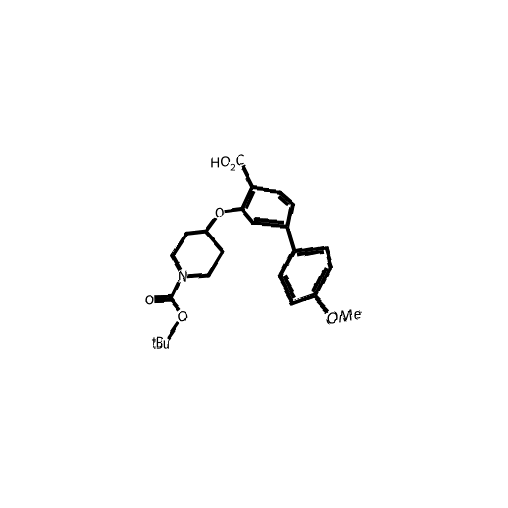 COc1ccc(-c2ccc(C(=O)O)c(OC3CCN(C(=O)OC(C)(C)C)CC3)c2)cc1